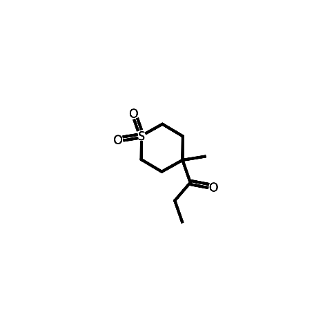 CCC(=O)C1(C)CCS(=O)(=O)CC1